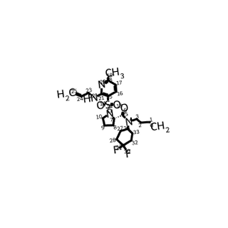 C=CCCN(C(=O)[C@@H]1CCCN1S(=O)(=O)c1ccc(C)nc1NCC=C)C1CCC(F)(F)CC1